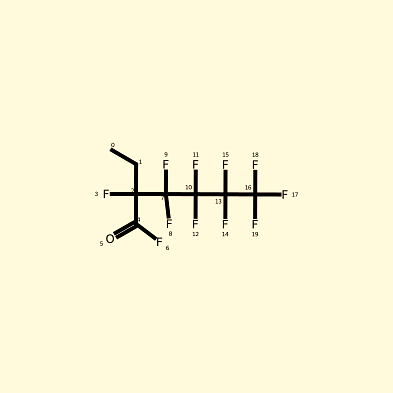 CCC(F)(C(=O)F)C(F)(F)C(F)(F)C(F)(F)C(F)(F)F